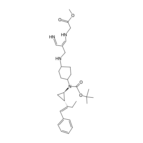 CC/C(=C\c1ccccc1)[C@@H]1C[C@H]1N(C(=O)OC(C)(C)C)C1CCC(NC/C(C=N)=C/NCC(=O)OC)CC1